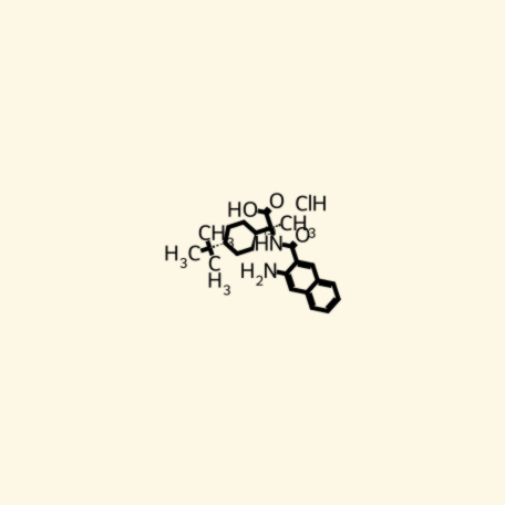 CC(C)(C)[C@H]1CC[C@H]([C@](C)(NC(=O)c2cc3ccccc3cc2N)C(=O)O)CC1.Cl